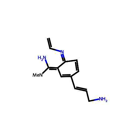 C=C/N=C1C=CC(/C=C/CN)=CC/1=C(/N)NC